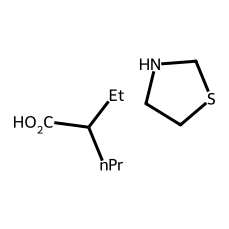 C1CSCN1.CCCC(CC)C(=O)O